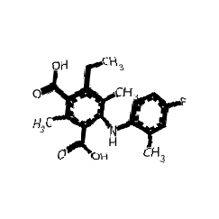 CCc1c(C)c(Nc2ccc(F)cc2C)c(C(=O)O)c(C)c1C(=O)O